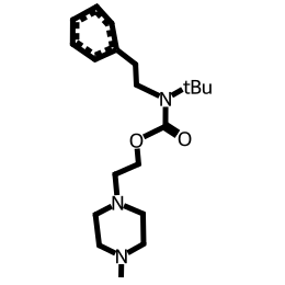 CN1CCN(CCOC(=O)N(CCc2ccccc2)C(C)(C)C)CC1